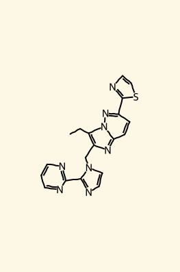 CCc1c(Cn2ccnc2-c2ncccn2)nc2ccc(-c3nccs3)nn12